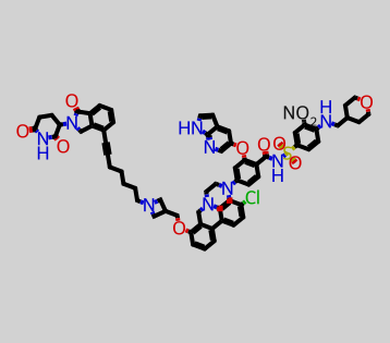 O=C1CCC(N2Cc3c(C#CCCCCCN4CC(COc5cccc(-c6ccc(Cl)cc6)c5CN5CCN(c6ccc(C(=O)NS(=O)(=O)c7ccc(NCC8CCOCC8)c([N+](=O)[O-])c7)c(Oc7cnc8[nH]ccc8c7)c6)CC5)C4)cccc3C2=O)C(=O)N1